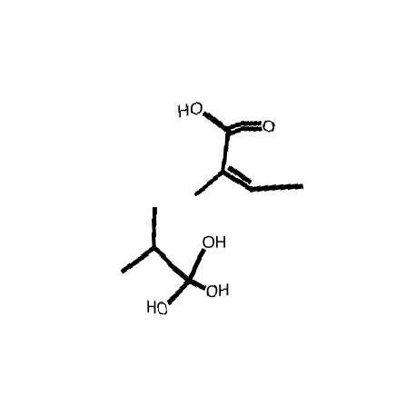 CC(C)C(O)(O)O.CC=C(C)C(=O)O